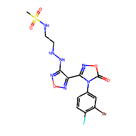 CS(=O)(=O)NCCNNc1nonc1-c1noc(=O)n1-c1ccc(F)c(Br)c1